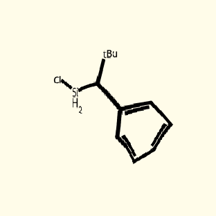 CC(C)(C)C([SiH2]Cl)c1ccccc1